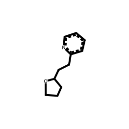 [CH](Cc1ccccn1)C1CCCO1